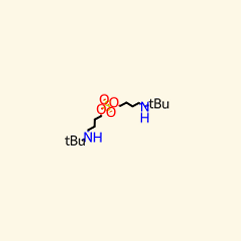 CC(C)(C)NCCCCOS(=O)(=O)OCCCCNC(C)(C)C